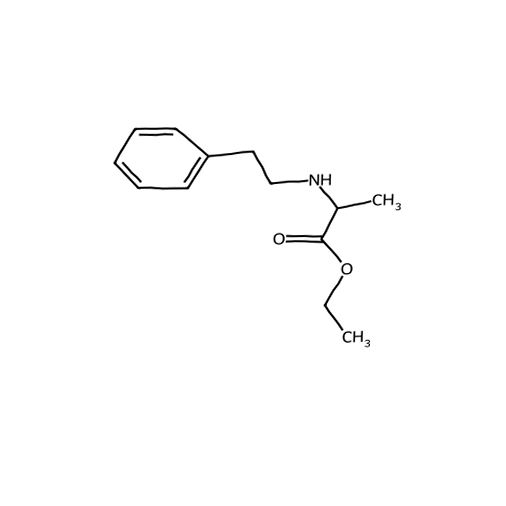 CCOC(=O)C(C)NCCc1ccccc1